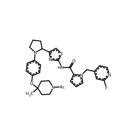 CC(=O)N1CCC(C)(Oc2ccc(N3CCCC3c3csc(NC(=O)c4cccn4Cc4ccnc(F)c4)n3)cc2)CC1